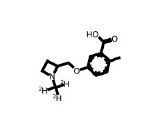 [2H]C([2H])([2H])N1CCC1COc1ccc(C)c(C(=O)O)c1